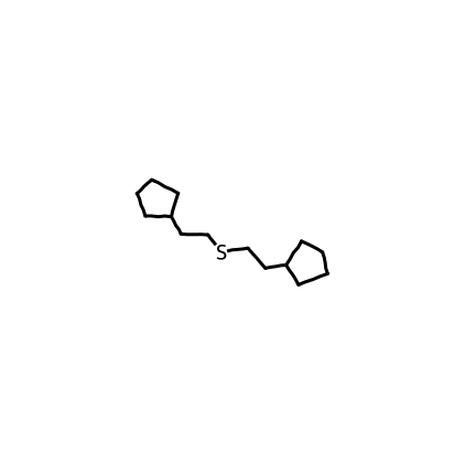 C1CCC(CCSCCC2CCCC2)C1